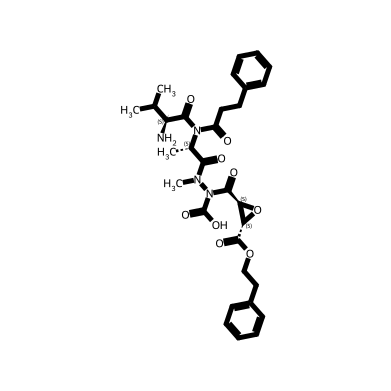 CC(C)[C@H](N)C(=O)N(C(=O)CCc1ccccc1)[C@@H](C)C(=O)N(C)N(C(=O)O)C(=O)[C@H]1O[C@@H]1C(=O)OCCc1ccccc1